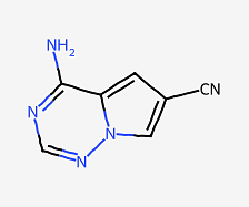 N#Cc1cc2c(N)ncnn2c1